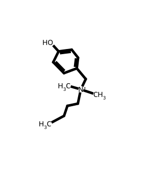 CCCC[N+](C)(C)Cc1ccc(O)cc1